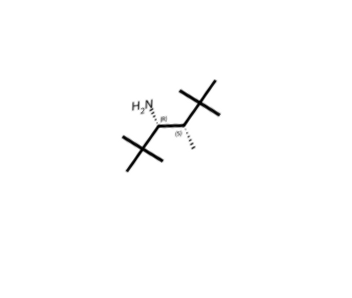 C[C@H]([C@@H](N)C(C)(C)C)C(C)(C)C